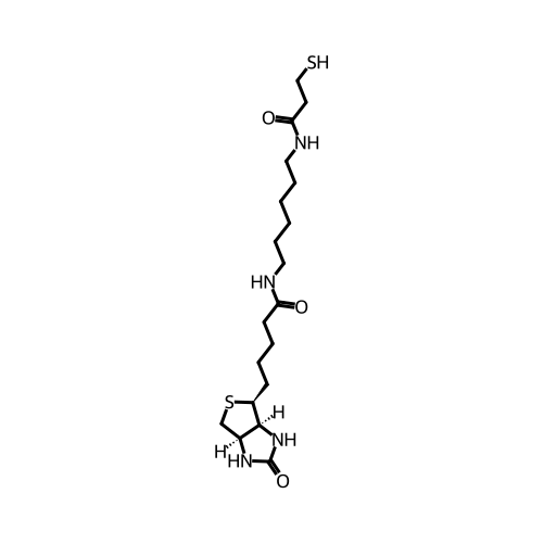 O=C(CCS)NCCCCCCNC(=O)CCCC[C@@H]1SC[C@@H]2NC(=O)N[C@@H]21